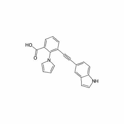 O=C(O)c1cccc(C#Cc2ccc3[nH]ccc3c2)c1-n1cccc1